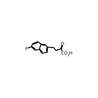 O=C(O)C(=O)CCc1ccc2cc(F)ccc2c1